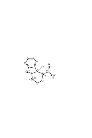 CC1(c2ccccc2)C(Cl)NCCN1C(=O)O